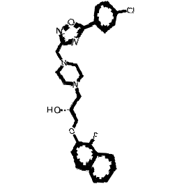 O[C@@H](COc1ccc2ccccc2c1F)CN1CCN(Cc2noc(-c3ccc(Cl)cc3)n2)CC1